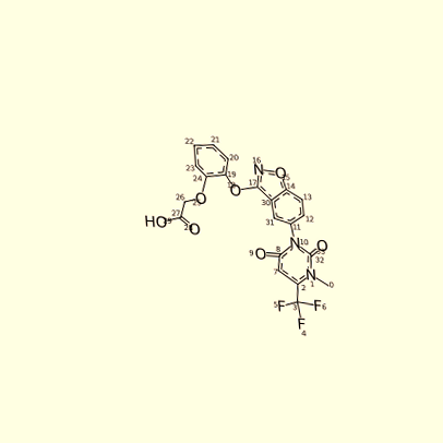 Cn1c(C(F)(F)F)cc(=O)n(-c2ccc3onc(Oc4ccccc4OCC(=O)O)c3c2)c1=O